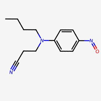 CCCCN(CCC#N)c1ccc(N=O)cc1